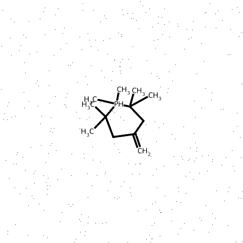 C=C1CC(C)(C)[PH](C)(C)C(C)(C)C1